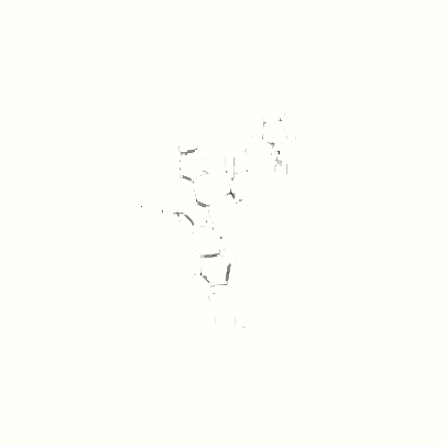 COc1ccc(Cn2cc(C)c(-c3ccco3)c2C(=O)NCCC2CCCN2C)cc1